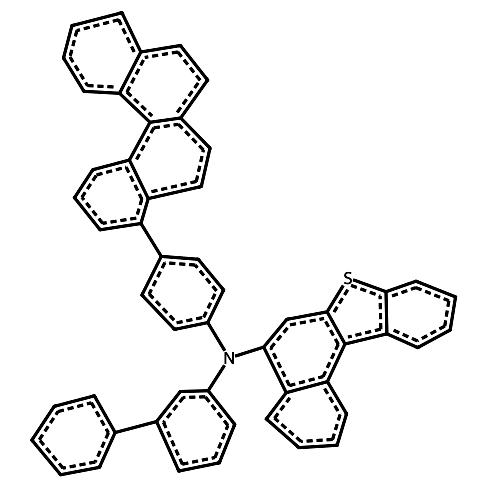 c1ccc(-c2cccc(N(c3ccc(-c4cccc5c4ccc4ccc6ccccc6c45)cc3)c3cc4sc5ccccc5c4c4ccccc34)c2)cc1